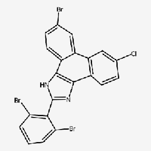 Clc1ccc2c(c1)c1cc(Br)ccc1c1[nH]c(-c3c(Br)cccc3Br)nc21